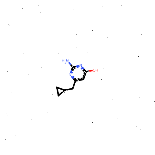 Nc1nc(O)cc(CC2CC2)n1